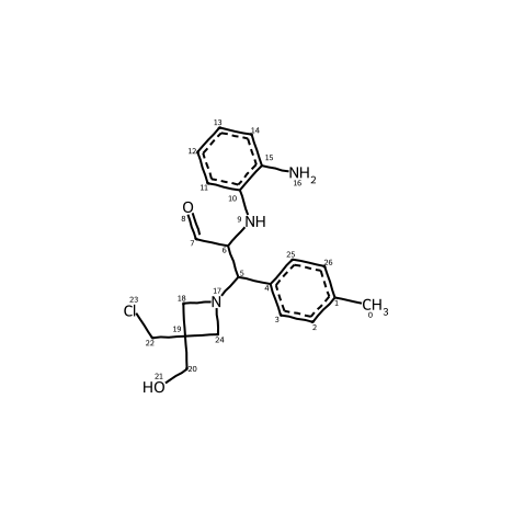 Cc1ccc(C(C(C=O)Nc2ccccc2N)N2CC(CO)(CCl)C2)cc1